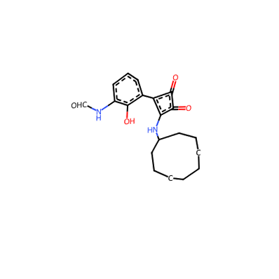 O=CNc1cccc(-c2c(NC3CCCCCCCC3)c(=O)c2=O)c1O